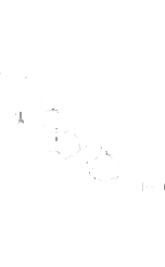 CCCCCCCc1cnc(-c2ccc(CC(=O)C3CCC(C)CC3=O)cc2)nc1